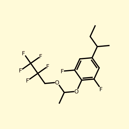 CCC(C)c1cc(F)c(OC(C)OCC(F)(F)C(F)(F)F)c(F)c1